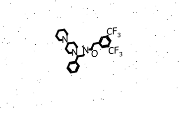 CN(CC(c1ccccc1)N1CCC(N2CCCCC2)CC1)C(=O)Cc1cc(C(F)(F)F)cc(C(F)(F)F)c1